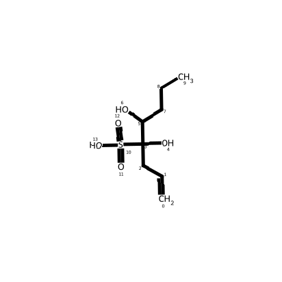 C=CCC(O)([C](O)CCC)S(=O)(=O)O